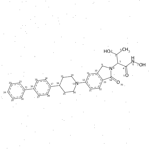 CC(O)C(C(=O)NO)N1Cc2cc(N3CCC(c4ccc(-c5ccccc5)cc4)CC3)ccc2C1=O